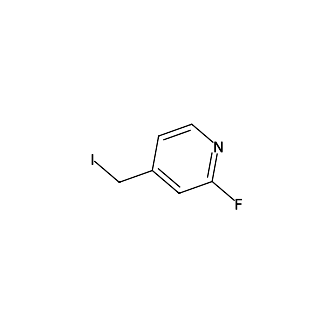 Fc1cc(CI)ccn1